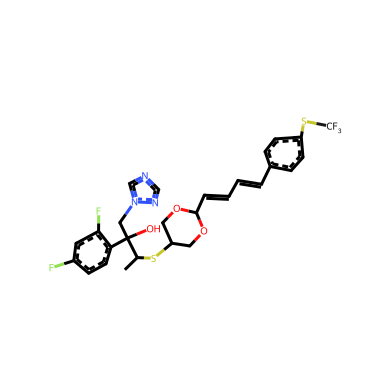 CC(SC1COC(C=CC=Cc2ccc(SC(F)(F)F)cc2)OC1)C(O)(Cn1cncn1)c1ccc(F)cc1F